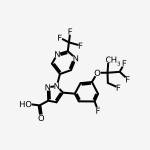 CC(CF)(Oc1cc(F)cc(-c2cc(C(=O)O)nn2-c2cnc(C(F)(F)F)nc2)c1)C(F)F